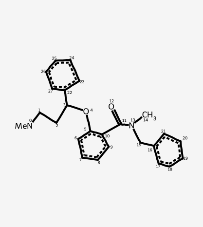 CNCCC(Oc1ccccc1C(=O)N(C)Cc1ccccc1)c1ccccc1